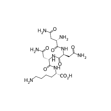 NCCCC[C@H](NC(=O)[C@H](CC(N)=O)NC(=O)[C@H](CC(N)=O)NC(=O)[C@@H](N)CC(N)=O)C(=O)O